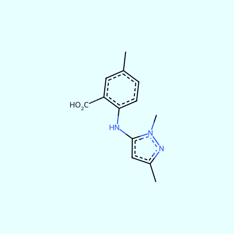 Cc1ccc(Nc2cc(C)nn2C)c(C(=O)O)c1